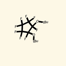 CC(C)(C)OC1(F)C(F)(F)C(F)(F)C(F)(F)C1(F)OC(C)(C)C